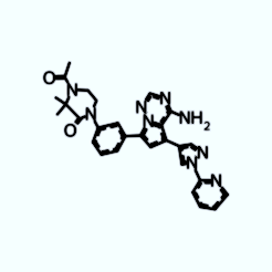 CC(=O)N1CCN(c2cccc(-c3cc(-c4cnn(-c5ccccn5)c4)c4c(N)ncnn34)c2)C(=O)C1(C)C